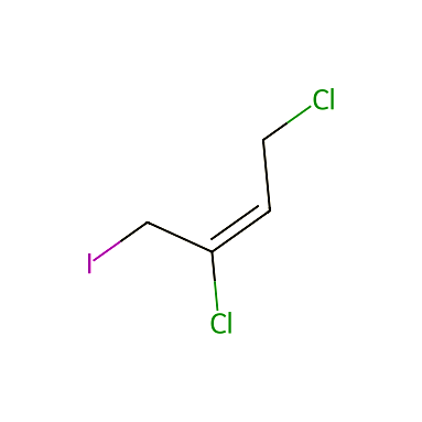 ClC/C=C(/Cl)CI